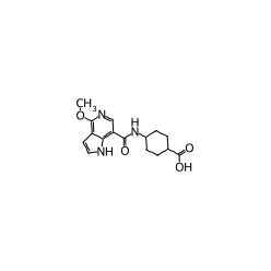 COc1ncc(C(=O)NC2CCC(C(=O)O)CC2)c2[nH]ccc12